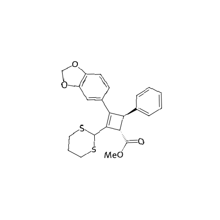 COC(=O)[C@@H]1C(C2SCCCS2)=C(c2ccc3c(c2)OCO3)[C@H]1c1ccccc1